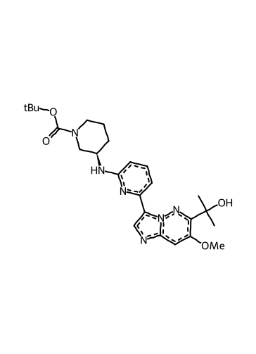 COc1cc2ncc(-c3cccc(N[C@@H]4CCCN(C(=O)OC(C)(C)C)C4)n3)n2nc1C(C)(C)O